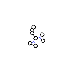 c1ccc2c(c1)Cc1ccc(-c3cc(-n4c5ccccc5c5ccccc54)cc(-n4c5ccccc5c5ccccc54)c3)cc1-2